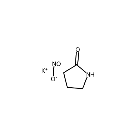 O=C1CCCN1.O=N[O-].[K+]